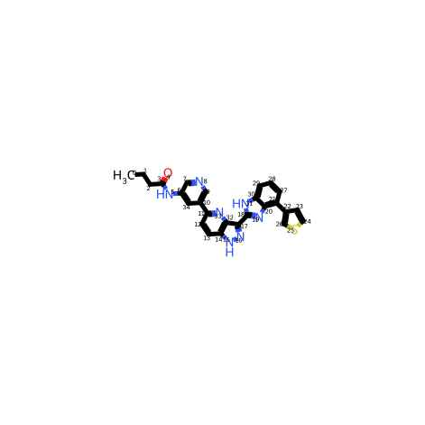 CCCC(=O)Nc1cncc(-c2ccc3[nH]nc(-c4nc5c(-c6ccsc6)cccc5[nH]4)c3n2)c1